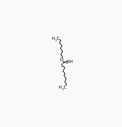 CCCCCCCCOC(=S)SCCCCCCCC.[KH]